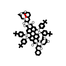 CC(C)(C)c1ccc(Oc2cc3c4c(cc(Oc5ccc(C(C)(C)C)cc5)c5c6c(Oc7ccc(C(C)(C)C)cc7)cc7c8c(cc(Oc9ccc(C(C)(C)C)cc9)c(c2c45)c86)C(=O)N(C(CC2CCCCC2)C(=O)N(CC2CO2)CC2CO2)C7=O)C(=O)N(C(CC2CCCCC2)C(=O)N(CC2CO2)CC2CO2)C3=O)cc1